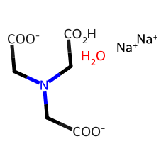 O.O=C([O-])CN(CC(=O)[O-])CC(=O)O.[Na+].[Na+]